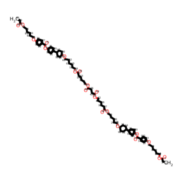 C=CC(=O)OCCCCCCOc1ccc(C(=O)Oc2ccc(C3CCC(OCCCCCCOC(=O)CCCCCOC(=O)CCC(=O)OCCCCCC(=O)OCCCCCCOC4CCC(c5ccc(OC(=O)c6ccc(OCCCCCCOC(=O)C=C)cc6)cc5)CC4)CC3)cc2)cc1